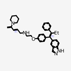 C=C(/C=C/CNCCOc1ccc(/C(=C(/CC)c2ccccc2)c2ccc3[nH]ncc3c2)cc1)N1CCCCC1